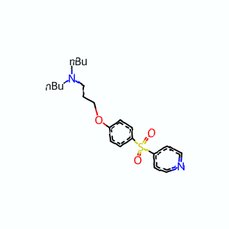 CCCCN(CCCC)CCCOc1ccc(S(=O)(=O)c2ccncc2)cc1